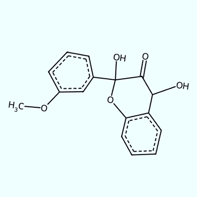 COc1cccc(C2(O)Oc3ccccc3C(O)C2=O)c1